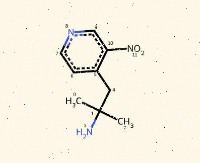 CC(C)(N)Cc1ccncc1[N+](=O)[O-]